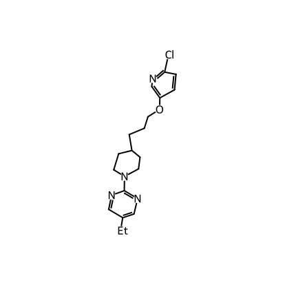 CCc1cnc(N2CCC(CCCOc3ccc(Cl)nc3)CC2)nc1